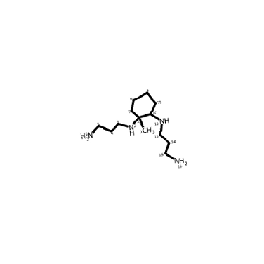 CC1(NCCCN)CCCCC1NCCCN